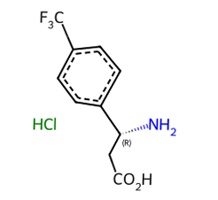 Cl.N[C@H](CC(=O)O)c1ccc(C(F)(F)F)cc1